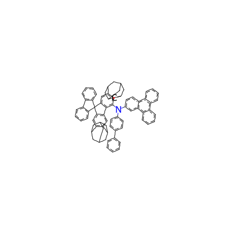 c1ccc(-c2ccc(N(c3ccc4c5ccccc5c5ccccc5c4c3)c3c4c(cc5c3C3CC6CC(CC5C6)C3)C3(c5ccccc5-c5ccccc53)c3cc5c(cc3-4)C3CC4CC(C3)CC5C4)cc2)cc1